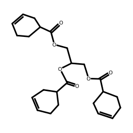 O=C(OCC(COC(=O)C1CC=CCC1)OC(=O)C1CC=CCC1)C1CC=CCC1